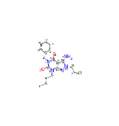 CCCCn1c(=O)n(Cc2ccccc2)c(=O)c2c(N)n(CCCl)nc21